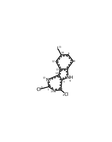 Clc1nc(Cl)c2[nH]c3ccc(I)cc3c2n1